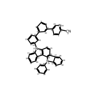 N#Cc1ccc(-c2cccc(-c3cccc(-n4c5ccccc5c5c4ccc4c6ccccc6n(-c6ccccc6)c45)c3)c2)cn1